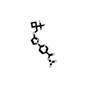 O=C(N=S(=O)=O)c1ccc(-n2ccc(OCC3(C(F)(F)F)CCC3)n2)nc1